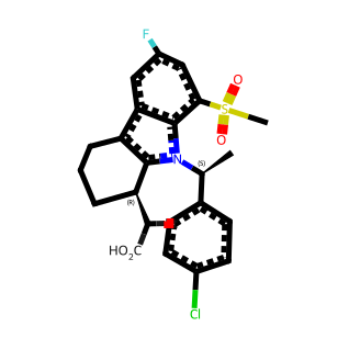 CCC(C(=O)O)[C@H]1CCCc2c1n([C@@H](C)c1ccc(Cl)cc1)c1c(S(C)(=O)=O)cc(F)cc21